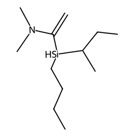 C=C(N(C)C)[SiH](CCCC)C(C)CC